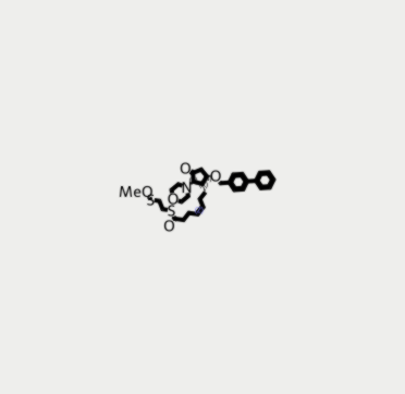 COSCCSC(=O)CC/C=C\CC[C@H]1[C@@H](OCc2ccc(-c3ccccc3)cc2)CC(=O)[C@@H]1N1CCOCC1